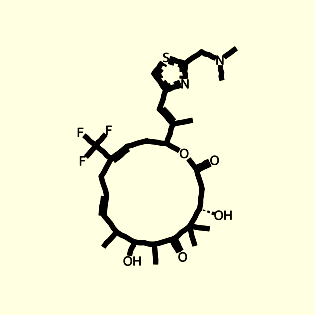 C/C(=C\c1csc(CN(C)C)n1)C1C/C=C(/C(F)(F)F)C/C=C/C(C)C(O)C(C)C(=O)C(C)(C)[C@@H](O)CC(=O)O1